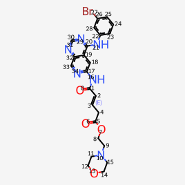 O=C(/C=C/CC(=O)OCCN1CCOCC1)Nc1cc2c(Nc3cccc(Br)c3)ncnc2cn1